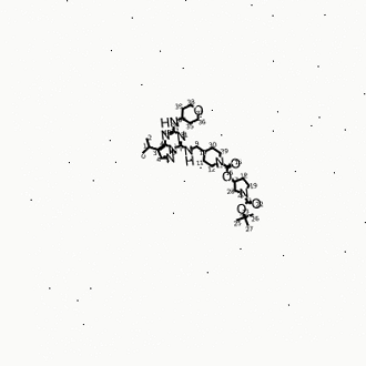 CC(C)c1cnn2c(NCC3CCN(C(=O)OC4CCN(C(=O)OC(C)(C)C)C4)CC3)nc(NC3CCOCC3)nc12